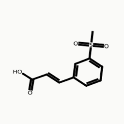 CS(=O)(=O)c1cccc(/C=C/C(=O)O)c1